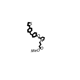 COC(=O)CCCN1CCCC1COc1ccc(Cc2ccc(-c3cccs3)cc2)cc1